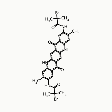 Cc1cc2[nH]c3cc4c(=O)c5cc(NC(=O)C(C)(C)Br)c(C)cc5[nH]c4cc3c(=O)c2cc1NC(=O)C(C)(C)Br